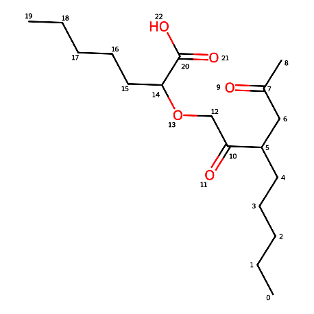 CCCCCC(CC(C)=O)C(=O)COC(CCCCC)C(=O)O